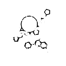 COc1ccc2c(O[C@@H]3C[C@H]4C(=O)N[C@]5(P(=O)(O)Cc6cccs6)C[C@H]5CCCCCCC[C@H](NC(=O)OC5CCCC5)C(=O)N4C3)cc(-c3ccccc3)nc2c1